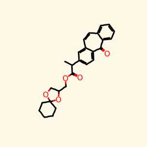 CC(C(=O)OCC1COC2(CCCCC2)O1)c1ccc2c(=O)c3ccccc3ccc2c1